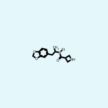 CCN(C(=O)C1CNC1)C(C)Cc1ccc2c(c1)OCO2